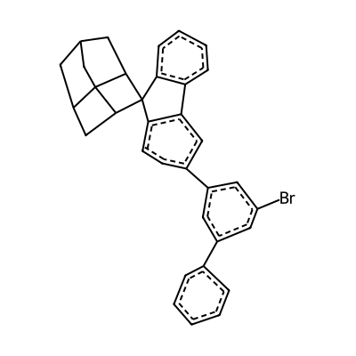 Brc1cc(-c2ccccc2)cc(-c2ccc3c(c2)-c2ccccc2C32C3CC4CC5CC2C53C4)c1